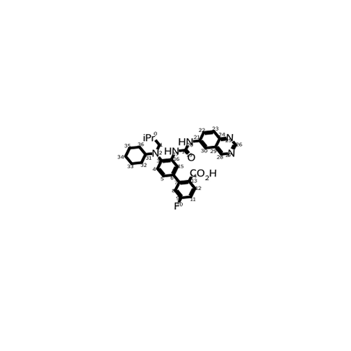 CC(C)CN(c1ccc(-c2cc(F)ccc2C(=O)O)cc1NC(=O)Nc1ccc2ncncc2c1)C1CCCCC1